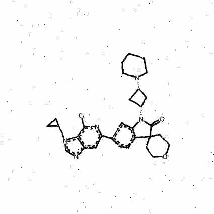 O=C1N([C@H]2C[C@@H](N3CCCCC3)C2)c2cc(-c3cc4ncn(C5CC5)c4c(Cl)n3)ccc2C12CCOCC2